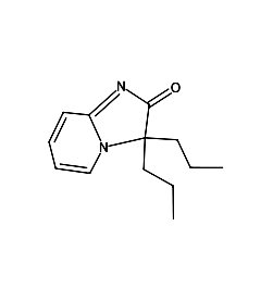 CCCC1(CCC)C(=O)N=C2C=CC=CN21